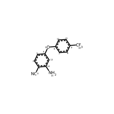 N#Cc1ccc(Oc2ccc(C(F)(F)F)cc2)cc1N